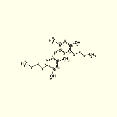 CCCCc1cc(Sc2cc(CCCC)c(O)cc2C)c(C)cc1O